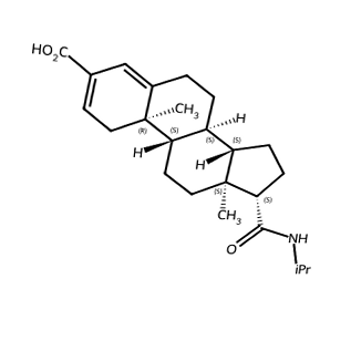 CC(C)NC(=O)[C@H]1CC[C@H]2[C@@H]3CCC4=CC(C(=O)O)=CC[C@]4(C)[C@H]3CC[C@]12C